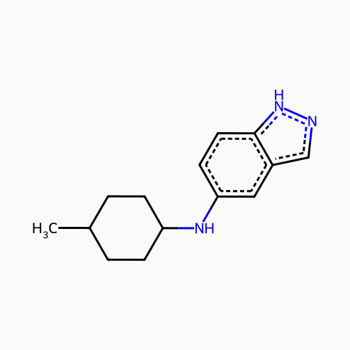 CC1CCC(Nc2ccc3[nH]ncc3c2)CC1